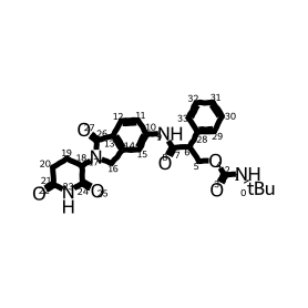 CC(C)(C)NC(=O)OCC(C(=O)Nc1ccc2c(c1)CN(C1CCC(=O)NC1=O)C2=O)c1ccccc1